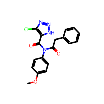 COc1ccc(N(C(=O)Cc2ccccc2)C(=O)c2[nH]nnc2Cl)cc1